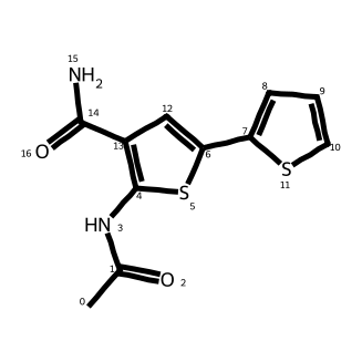 CC(=O)Nc1sc(-c2cccs2)cc1C(N)=O